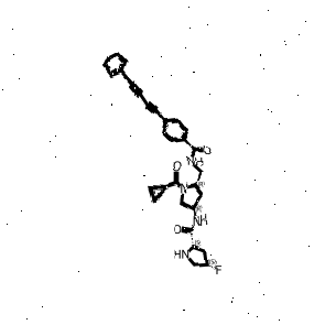 O=C(NC[C@H]1C[C@@H](NC(=O)[C@@H]2C[C@H](F)CN2)CN1C(=O)C1CC1)c1ccc(C#CC#Cc2ccccc2)cc1